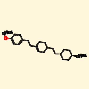 CCCCCCOc1ccc(CCC2=CCC(CC[C@H]3CC[C@H](CCCCCC)CC3)CC2)cc1